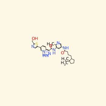 Cc1ncc(NC(=O)CCCC2CCCC2(C)C)cc1NC(=O)/C(N=N)=C1\C=CC(c2cnc(CO)s2)=CN1